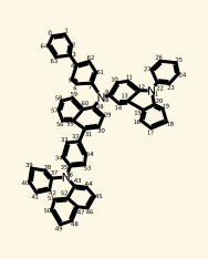 c1ccc(-c2ccc(N(c3ccc4c(c3)c3ccccc3n4-c3ccccc3)c3ccc(-c4ccc(N(c5ccccc5)c5cccc6ccccc56)cc4)c4ccccc34)cc2)cc1